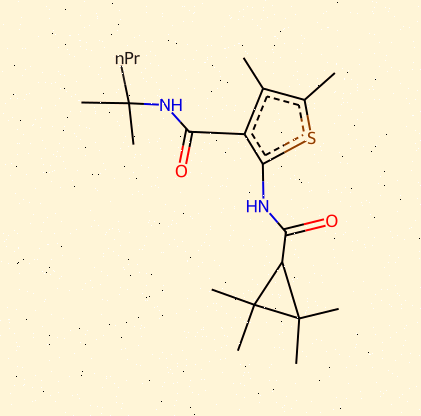 CCCC(C)(C)NC(=O)c1c(NC(=O)C2C(C)(C)C2(C)C)sc(C)c1C